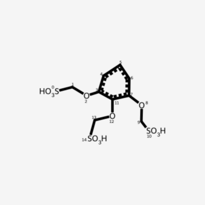 O=S(=O)(O)COc1cccc(OCS(=O)(=O)O)c1OCS(=O)(=O)O